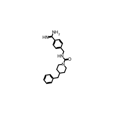 N=C(N)c1ccc(CNC(=O)N2CCC(Cc3ccccc3)CC2)cc1